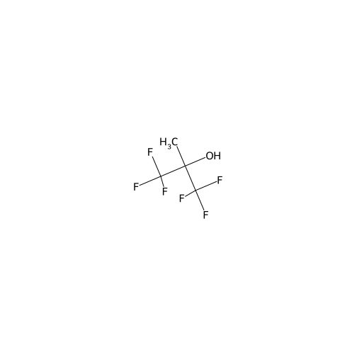 CC(O)(C(F)(F)F)C(F)(F)F